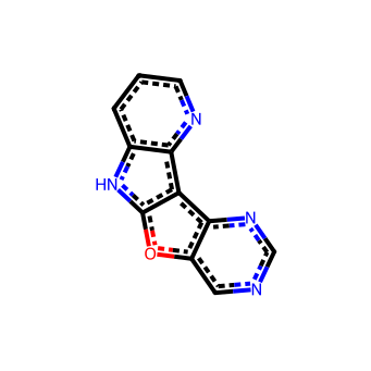 c1cnc2c(c1)[nH]c1oc3cncnc3c12